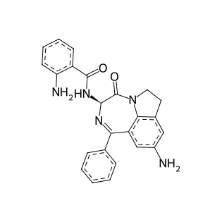 Nc1cc2c3c(c1)C(c1ccccc1)=N[C@@H](NC(=O)c1ccccc1N)C(=O)N3CC2